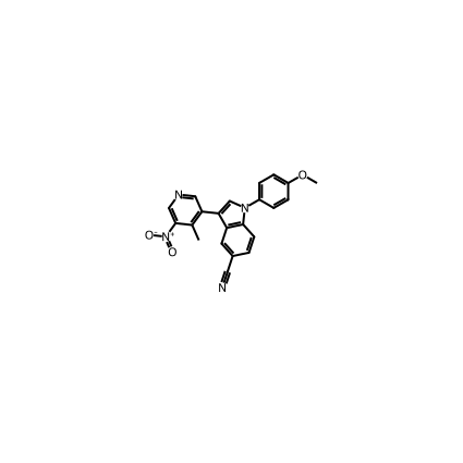 COc1ccc(-n2cc(-c3cncc([N+](=O)[O-])c3C)c3cc(C#N)ccc32)cc1